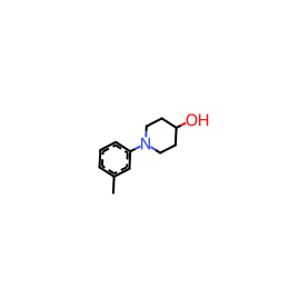 Cc1cccc(N2CCC(O)CC2)c1